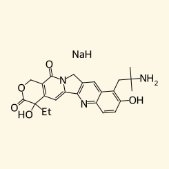 CCC1(O)C(=O)OCc2c1cc1n(c2=O)Cc2cc3c(CC(C)(C)N)c(O)ccc3nc2-1.[NaH]